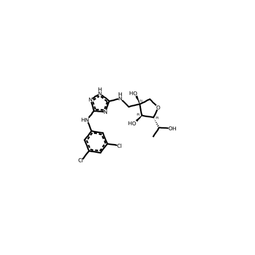 CC(O)[C@H]1OC[C@@](O)(CNc2nc(Nc3cc(Cl)cc(Cl)c3)n[nH]2)[C@@H]1O